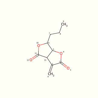 C=C1C(=O)OC2C(CCC)OC(=O)C12